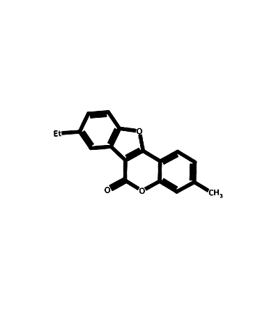 CCc1ccc2oc3c4ccc(C)cc4oc(=O)c3c2c1